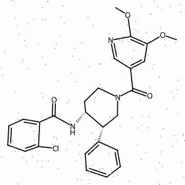 COc1cc(C(=O)N2CC[C@@H](NC(=O)c3ccccc3Cl)[C@@H](c3ccccc3)C2)cnc1OC